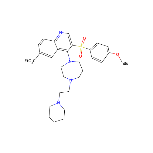 CCCCOc1ccc(S(=O)(=O)c2cnc3ccc(C(=O)OCC)cc3c2N2CCCN(CCN3CCCCC3)CC2)cc1